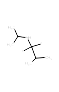 CC(C)NC(F)(F)C(C)C